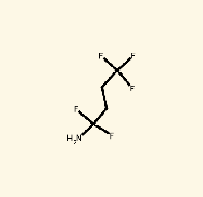 NC(F)(F)CCC(F)(F)F